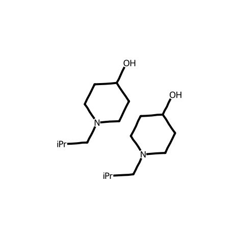 CC(C)CN1CCC(O)CC1.CC(C)CN1CCC(O)CC1